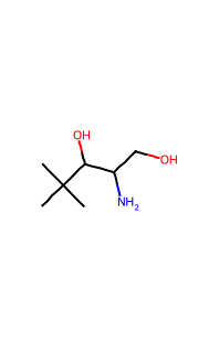 CC(C)(C)C(O)C(N)CO